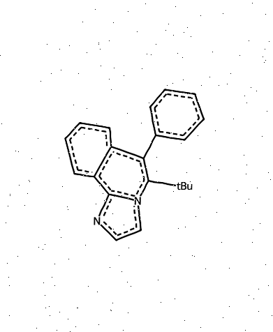 CC(C)(C)c1c(-c2ccccc2)c2ccccc2c2nccn12